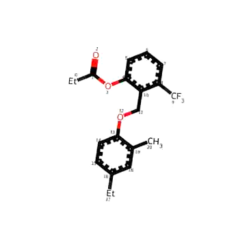 CCC(=O)Oc1cccc(C(F)(F)F)c1COc1ccc(CC)cc1C